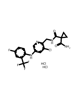 Cl.Cl.NC(=O)C1(C(=O)NCc2ncc(Nc3ccc(F)cc3C(F)(F)F)cc2Cl)CC1